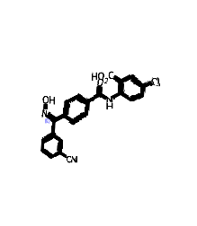 N#Cc1cccc(/C(=N/O)c2ccc(C(=O)Nc3ccc(Cl)cc3C(=O)O)cc2)c1